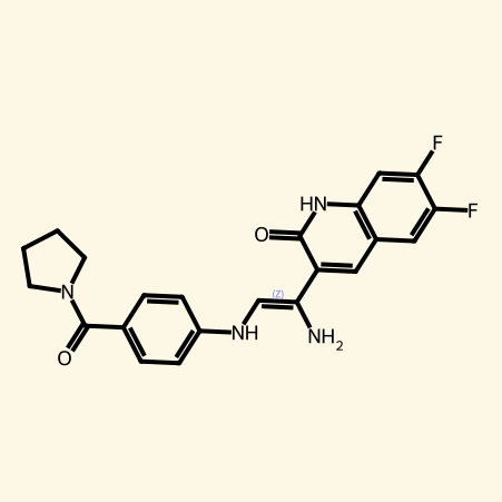 N/C(=C\Nc1ccc(C(=O)N2CCCC2)cc1)c1cc2cc(F)c(F)cc2[nH]c1=O